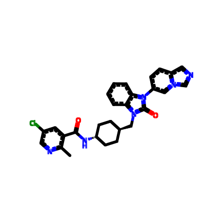 Cc1ncc(Cl)cc1C(=O)N[C@H]1CC[C@H](Cn2c(=O)n(-c3ccc4cncn4c3)c3ccccc32)CC1